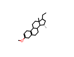 CCC1C[C@H](C)C2C3CCC4=C(CC=C(OC)C4)C3CCC12C